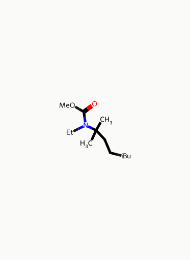 CCC(C)CCC(C)(C)N(CC)C(=O)OC